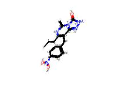 CCCc1nc(C)n2c(=O)[nH]nc2c1Cc1ccc([N+](=O)[O-])cc1